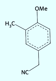 COc1ccc(CC#N)cc1C